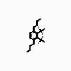 FCCCc1ccc(CCCF)c(C(F)(F)F)c1C(F)(F)F